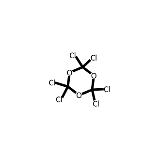 ClC1(Cl)OC(Cl)(Cl)OC(Cl)(Cl)O1